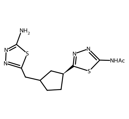 CC(=O)Nc1nnc([C@H]2CCC(Cc3nnc(N)s3)C2)s1